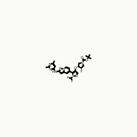 Cc1cc(Nc2cc3cc(-c4c(O[C@@H]5CN(C(=O)OC(C)(C)C)C[C@@H]5F)cnn4C(F)F)ccn3n2)nc(C)n1